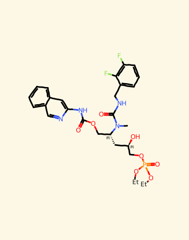 CCOP(=O)(OCC)OC[C@H](O)C[C@H](COC(=O)Nc1cc2ccccc2cn1)N(C)C(=O)NCc1cccc(F)c1F